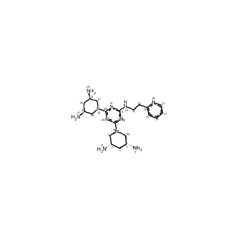 N[C@@H]1C[C@H](N)CN(c2nc(NCCc3ccccn3)nc(N3C[C@H](N)C[C@H](N)C3)n2)C1